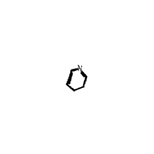 C1=CN=CCC1